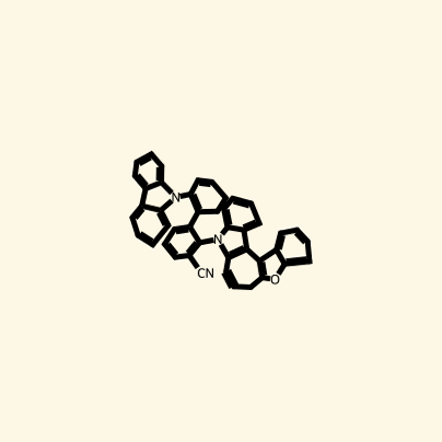 N#Cc1cccc(C2=C(n3c4ccccc4c4ccccc43)C=CCC2)c1-n1c2c(c3ccccc31)-c1c(oc3ccccc13)CC#C2